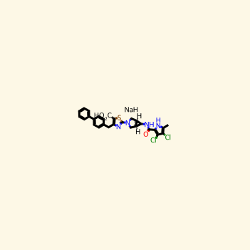 Cc1[nH]c(C(=O)NC2[C@H]3CN(c4nc(Cc5ccc(-c6ccccc6)cc5)c(C(=O)O)s4)C[C@@H]23)c(Cl)c1Cl.[NaH]